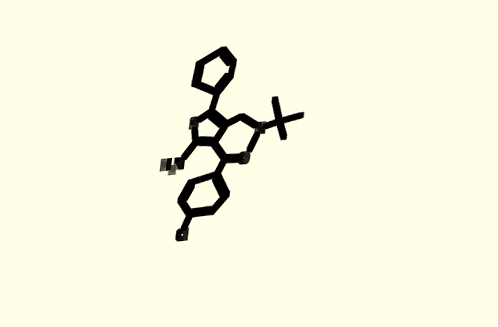 CN(Cc1c(-c2ccccc2)sc(N)c1C(=O)c1ccc(Cl)cc1)C(C)(C)C